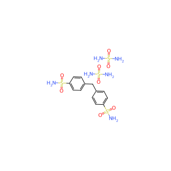 NS(=O)(=O)c1ccc(Cc2ccc(S(N)(=O)=O)cc2)cc1.NS(N)(=O)=O.NS(N)(=O)=O